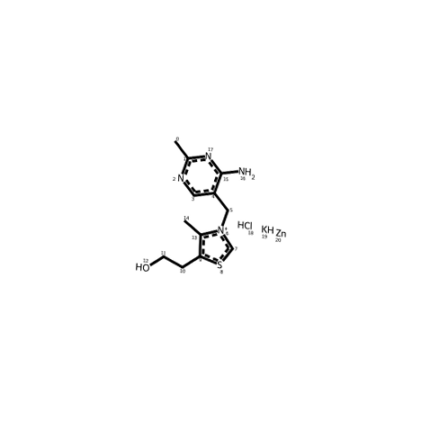 Cc1ncc(C[n+]2csc(CCO)c2C)c(N)n1.Cl.[KH].[Zn]